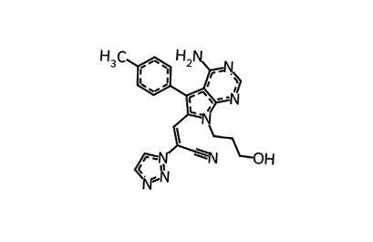 Cc1ccc(-c2c(C=C(C#N)n3ccnn3)n(CCCO)c3ncnc(N)c23)cc1